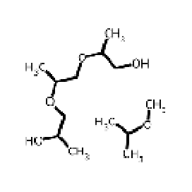 CC(O)COC(C)COC(C)CO.COC(C)C